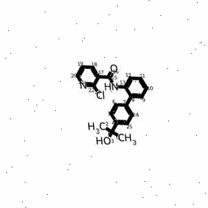 CC(C)(O)c1ccc(-c2ccccc2NC(=O)c2cccnc2Cl)cc1